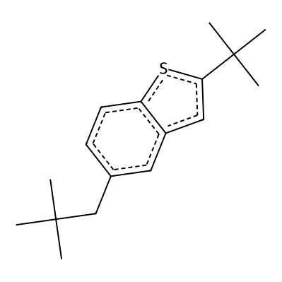 CC(C)(C)Cc1ccc2sc(C(C)(C)C)cc2c1